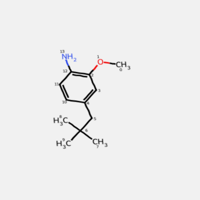 COc1cc(CC(C)(C)C)ccc1N